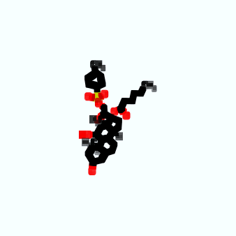 CCCCCC(=O)O[C@]1(C(=O)COS(=O)(=O)c2ccc(C)cc2)CC[C@H]2C3=C(C(O)C[C@@]21C)[C@@]1(C)C=CC(=O)C=C1CC3